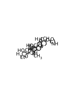 CCO[C@@H]([C@H]1C[C@@H](C)[C@H]2[C@H](O1)[C@H](O)[C@@]1(C)[C@@H]3CC[C@H]4C(C)(C)[C@@H](OC5CNCCO5)CC[C@@]45C[C@@]35CC[C@]21C)C(C)(C)O